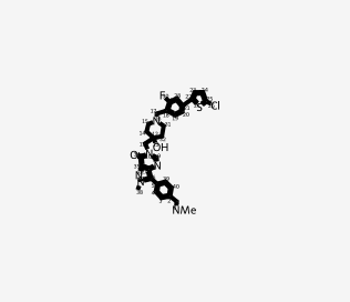 CNCc1ccc(-c2c3ncn(CC4(O)CCN(Cc5ccc(-c6ccc(Cl)s6)cc5F)CC4)c(=O)c3nn2C)cc1